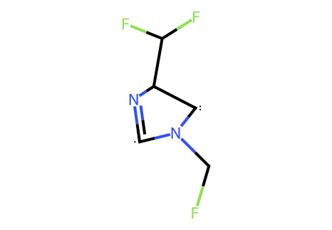 FCN1[C]C(C(F)F)N=[C]1